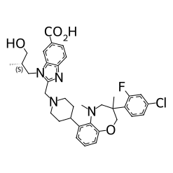 C[C@H](CO)Cn1c(CN2CCC(c3cccc4c3N(C)CC(C)(c3ccc(Cl)cc3F)CO4)CC2)nc2ccc(C(=O)O)cc21